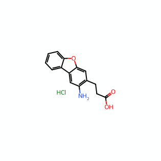 Cl.Nc1cc2c(cc1CCC(=O)O)oc1ccccc12